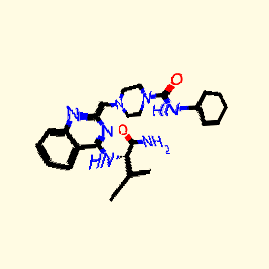 CC(C)[C@H](Nc1nc(CN2CCN(C(=O)NC3CCCCC3)CC2)nc2ccccc12)C(N)=O